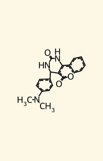 CN(C)c1ccc(C2NC(=O)Nc3c2c(=O)oc2ccccc32)cc1